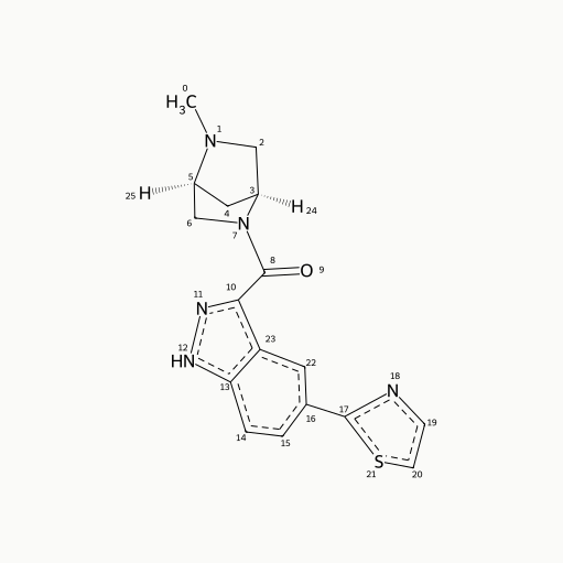 CN1C[C@@H]2C[C@H]1CN2C(=O)c1n[nH]c2ccc(-c3nccs3)cc12